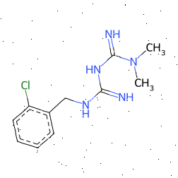 CN(C)C(=N)NC(=N)NCc1ccccc1Cl